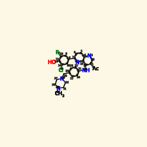 CC(=O)c1cnc2ccc(-c3cc(F)c(O)c(Cl)c3)nc2c1Nc1ccc(CN2CCN(C)CC2)cc1